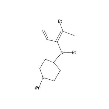 C=C/C(=C(/C)CC)N(CC)C1CCN(C(C)C)CC1